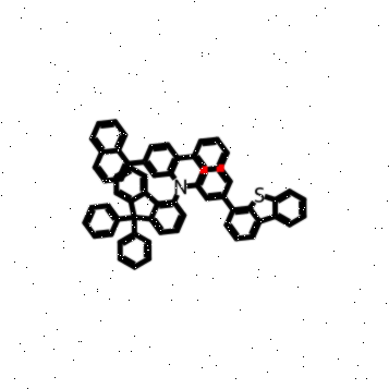 c1ccc(-c2ccc(-c3cccc4ccccc34)cc2N(c2cccc(-c3cccc4c3sc3ccccc34)c2)c2cccc3c2-c2ccccc2C3(c2ccccc2)c2ccccc2)cc1